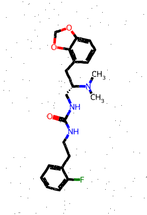 CN(C)[C@H](CNC(=O)NCCc1ccccc1F)Cc1cccc2c1OCO2